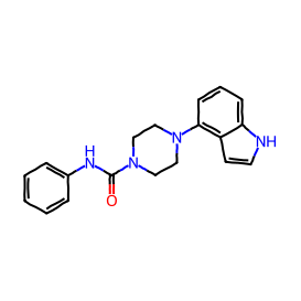 O=C(Nc1ccccc1)N1CCN(c2cccc3[nH]ccc23)CC1